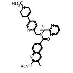 CC(=O)Nc1nc2ccc(C(=O)N(Cc3ccc(C4=CCN(C(=O)O)CC4)cn3)[C@H](C)c3ncccn3)cc2cc1C